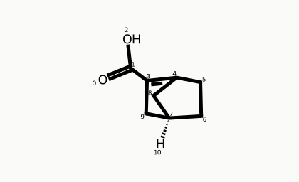 O=C(O)C1=C2CC[C@H](C2)C1